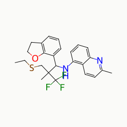 CCSCC(C)(C(Nc1cccc2nc(C)ccc12)c1cccc2c1OCC2)C(F)(F)F